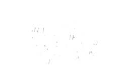 CCC1(CN)CN(c2c(F)cc3c(=O)c(C(=O)O)cn(C4CC4)c3c2C)C1